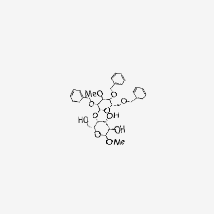 CO[C@H]1O[C@H](CO)[C@H](O[C@@H]2O[C@H](COCc3ccccc3)[C@H](OCc3ccccc3)[C@H](OC)[C@H]2OCc2ccccc2)[C@H](O)[C@H]1O